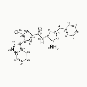 N[C@H]1CN(Cc2ccccc2)C[C@H]1NC(=O)c1nc(-c2cnn3ccccc23)c(Cl)s1